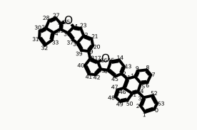 c1ccc(-c2c3ccccc3c(-c3ccc4oc5c(-c6ccc7cc8oc9ccc%10ccccc%10c9c8cc7c6)cccc5c4c3)c3ccccc23)cc1